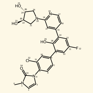 Cn1ccn(-c2ccc(-c3cc(F)cc(-c4ccnc(N5C[C@@H](O)[C@H](O)C5)c4)c3O)cc2Cl)c1=O